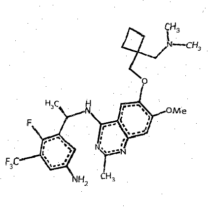 COc1cc2nc(C)nc(N[C@H](C)c3cc(N)cc(C(F)(F)F)c3F)c2cc1OCC1(CN(C)C)CCC1